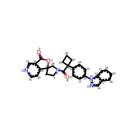 O=C1OC2(CCN(C(=O)C3(c4ccc(-n5ncc6ccccc65)cc4)CCC3)C2)c2ccncc21